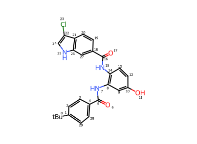 CC(C)(C)c1ccc(C(=O)Nc2cc(O)ccc2NC(=O)c2ccc3c(Cl)c[nH]c3c2)cc1